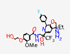 CC[C@@]1(N)COc2c1cc([C@](O)(CNC(=O)c1ccc(OCCO)c(OC)c1)C(F)(F)F)nc2-c1ccc(F)cc1